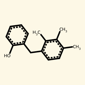 Cc1ccc(Cc2ccccc2O)c(C)c1C